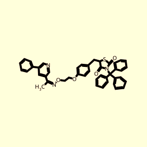 C/C(=N/OCCOc1ccc(CC2SC(=O)N(C(c3ccccc3)(c3ccccc3)c3ccccc3)C2=O)cc1)c1cncc(-c2ccccc2)c1